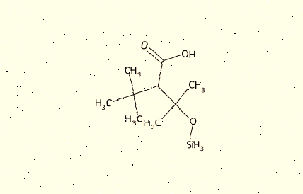 CC(C)(C)C(C(=O)O)C(C)(C)O[SiH3]